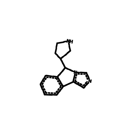 c1ccc2c(c1)-c1cncn1C2C1CCNC1